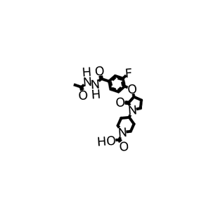 CC(=O)NNC(=O)c1ccc(OC2CCN(C3CCN(C(=O)O)CC3)C2=O)c(F)c1